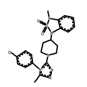 Cc1nnc(N2CCC(N3c4ccccc4N(C)S3(=O)=O)CC2)n1-c1ccc(Cl)cc1